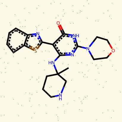 CC1(Nc2nc(N3CCOCC3)[nH]c(=O)c2-c2nc3ccccc3s2)CCCNC1